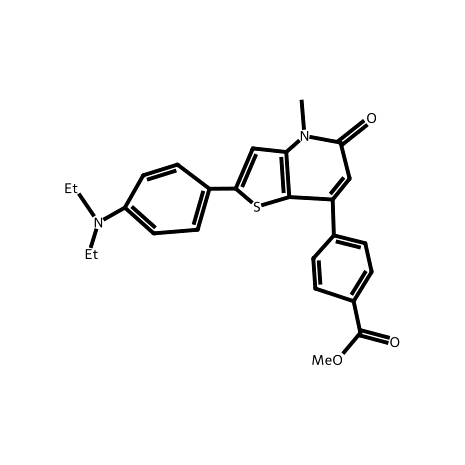 CCN(CC)c1ccc(-c2cc3c(s2)c(-c2ccc(C(=O)OC)cc2)cc(=O)n3C)cc1